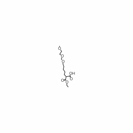 CCOC(=O)C(CCCCCOCOCCOC)C(=O)O